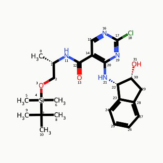 C[C@@H](CO[Si](C)(C)C(C)(C)C)NC(=O)c1cnc(Cl)nc1N[C@H]1c2ccccc2C[C@H]1O